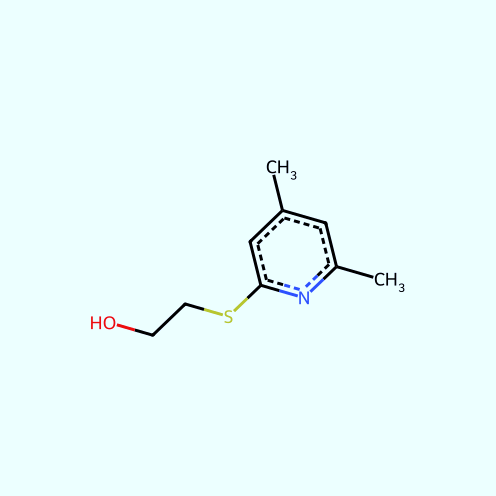 Cc1cc(C)nc(SCCO)c1